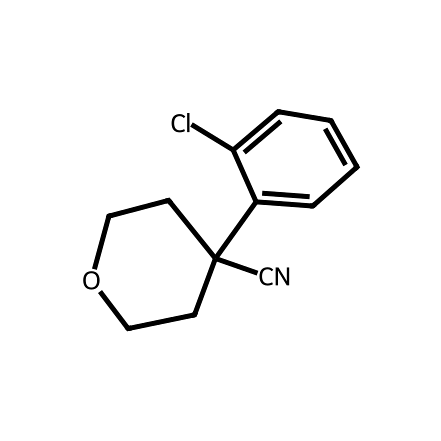 N#CC1(c2ccccc2Cl)CCOCC1